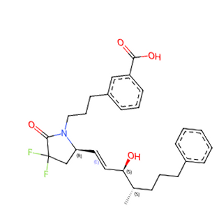 C[C@@H](CCCc1ccccc1)[C@H](O)/C=C/[C@H]1CC(F)(F)C(=O)N1CCCc1cccc(C(=O)O)c1